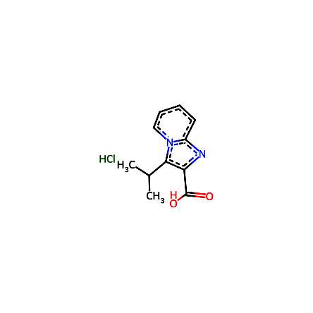 CC(C)c1c(C(=O)O)nc2ccccn12.Cl